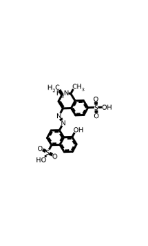 C=C/C=C(/N=Nc1ccc(S(=O)(=O)O)c2cccc(O)c12)c1ccc(S(=O)(=O)O)cc1C(C)N